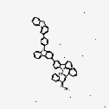 C/N=C(\C=C(/Nn1c2ccccc2c2cc(-c3ccc4c(c3)c3ccccc3n4-c3ccc(-c4ccc5sc6ccccc6c5c4)cc3)ccc21)c1ccccc1)c1ccccc1